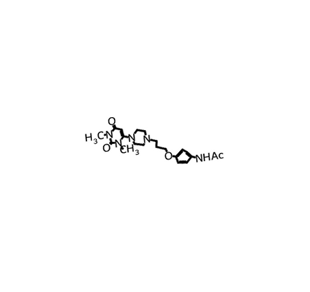 CC(=O)Nc1ccc(OCCCN2CCN(c3cc(=O)n(C)c(=O)n3C)CC2)cc1